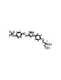 C[C@](O)(CO)COc1ccc(-n2cc(COc3ccc(OC(F)(F)F)cc3)nn2)cc1